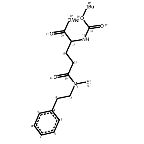 CCN(CCc1ccccc1)C(=O)CCC(NC(=O)OC(C)(C)C)C(=O)OC